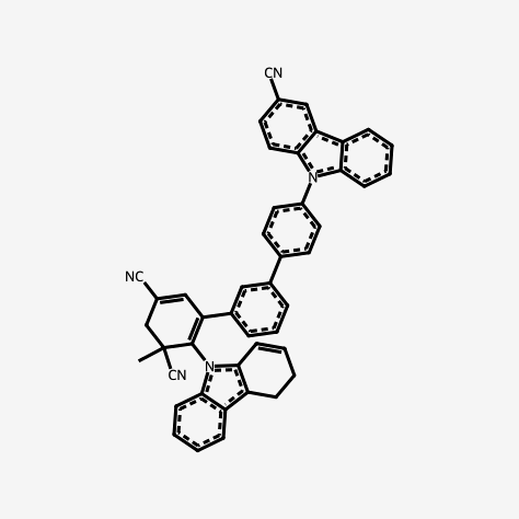 CC1(C#N)CC(C#N)=CC(c2cccc(-c3ccc(-n4c5ccccc5c5cc(C#N)ccc54)cc3)c2)=C1n1c2c(c3ccccc31)CCC=C2